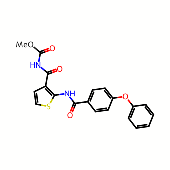 COC(=O)NC(=O)c1ccsc1NC(=O)c1ccc(Oc2ccccc2)cc1